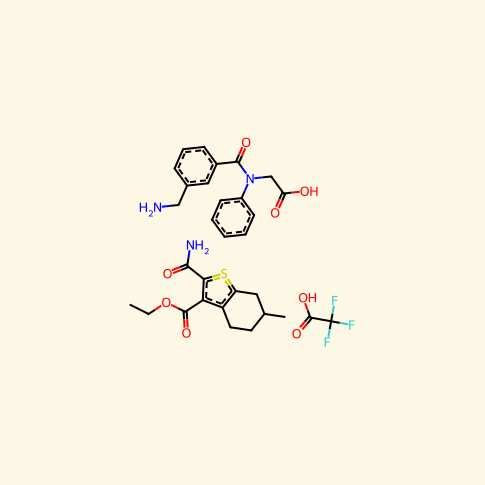 CCOC(=O)c1c(C(N)=O)sc2c1CCC(C)C2.NCc1cccc(C(=O)N(CC(=O)O)c2ccccc2)c1.O=C(O)C(F)(F)F